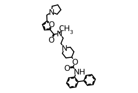 CN(CCN1CCC(OC(=O)Nc2ccccc2-c2ccccc2)CC1)C(=O)c1ccc(CN2CCCC2)o1